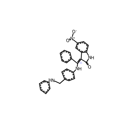 O=C1Nc2ccc([N+](=O)[O-])cc2/C1=C(/Nc1ccc(CNc2ccccc2)cc1)c1ccccc1